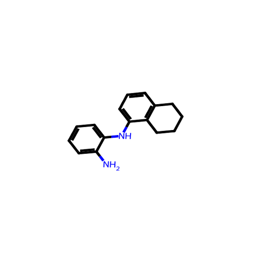 Nc1ccccc1Nc1cccc2c1CCCC2